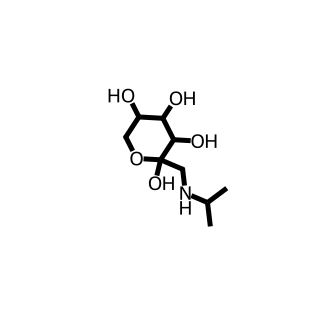 CC(C)NCC1(O)OCC(O)C(O)C1O